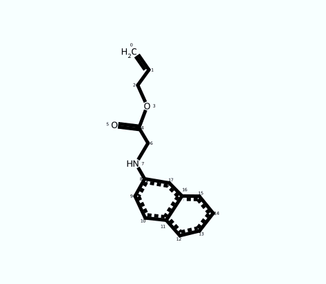 C=CCOC(=O)CNc1ccc2ccccc2c1